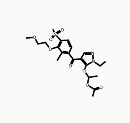 CCn1ncc(C(=O)c2ccc(S(C)(=O)=O)c(OCCOC)c2C)c1OC(C)OC(C)=O